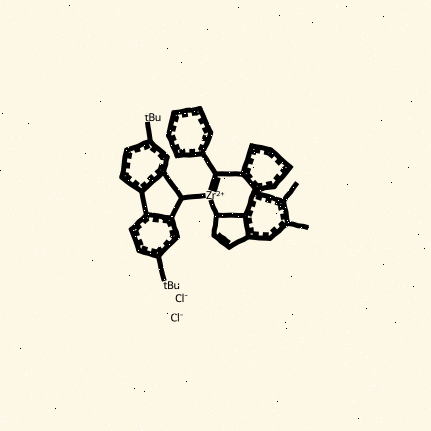 Cc1cc2c(cc1C)[CH]([Zr+2](=[C](c1ccccc1)c1ccccc1)[CH]1c3cc(C(C)(C)C)ccc3-c3ccc(C(C)(C)C)cc31)C=C2.[Cl-].[Cl-]